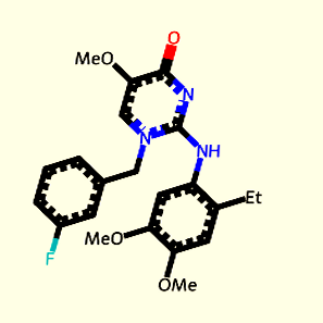 CCc1cc(OC)c(OC)cc1Nc1nc(=O)c(OC)cn1Cc1cccc(F)c1